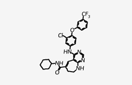 O=C(NC1CCCCC1)C1=Cc2c(ncnc2Nc2ccc(Oc3cccc(C(F)(F)F)c3)c(Cl)c2)NCC1